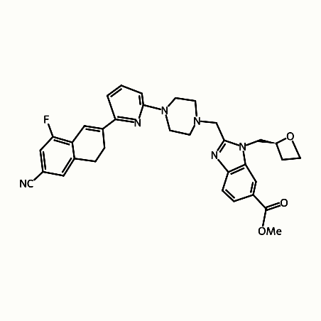 COC(=O)c1ccc2nc(CN3CCN(c4cccc(C5=Cc6c(F)cc(C#N)cc6CC5)n4)CC3)n(C[C@@H]3CCO3)c2c1